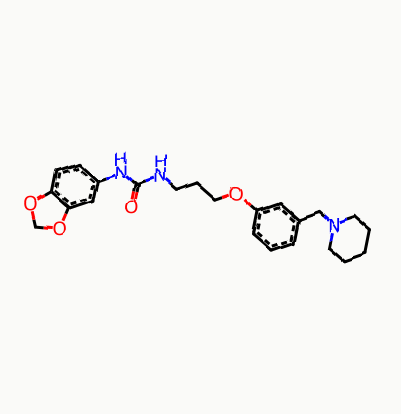 O=C(NCCCOc1cccc(CN2CCCCC2)c1)Nc1ccc2c(c1)OCO2